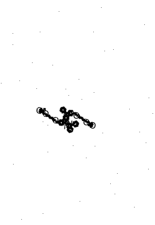 CCC1(COCCCCCOCc2ccc3c(c2)c2cc4c(cc2n3-c2nc(-c3ccccc3)c3ccccc3n2)c2cc(COCCCCCOCC3(C)COC3)ccc2n4-c2ccccc2)COC1